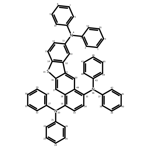 c1ccc(N(c2ccccc2)c2ccc3sc4cc5c(N(c6ccccc6)c6ccccc6)ccc(N(c6ccccc6)c6ccccc6)c5cc4c3c2)cc1